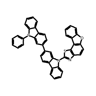 c1ccc(-n2c3ccccc3c3ccc(-c4ccc5c6ccccc6n(-c6nc7ccc8oc9ccccc9c8c7s6)c5c4)cc32)cc1